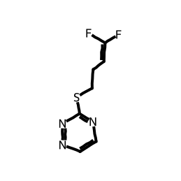 FC(F)=CCCSc1nccnn1